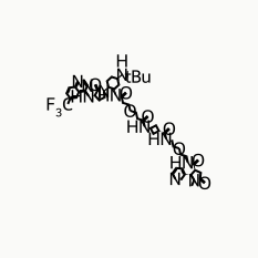 CN1C(=O)C[C@H](C(=O)NCCOCCNC(=O)[C@H]2C[C@H](NC(=O)CCOCCC(=O)N[C@@H]3C[C@H](NC(C)(C)C)CC[C@@H]3N3CC[C@H](Nc4ncnc5ccc(C(F)(F)F)cc45)C3=O)C2)[C@H]1c1cccnc1